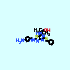 CC(C)(CO)Nc1nc(SCc2ccccc2)nc2nc(NCc3ccc(N)cc3)sc12